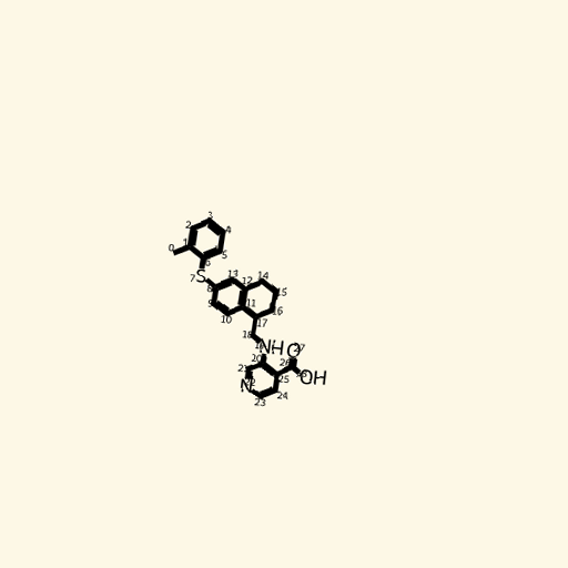 Cc1ccccc1Sc1ccc2c(c1)CCCC2CNc1cnccc1C(=O)O